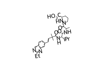 CCc1ncc2ccc(/C=C/C(C)(C)C(=O)NC(C(=O)NC(C)C(=O)N3CCCC(C(=O)O)N3)C(C)C)cc2n1